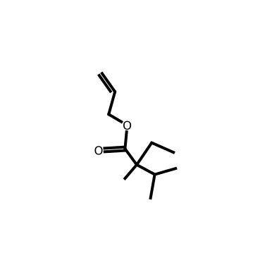 C=CCOC(=O)C(C)(CC)C(C)C